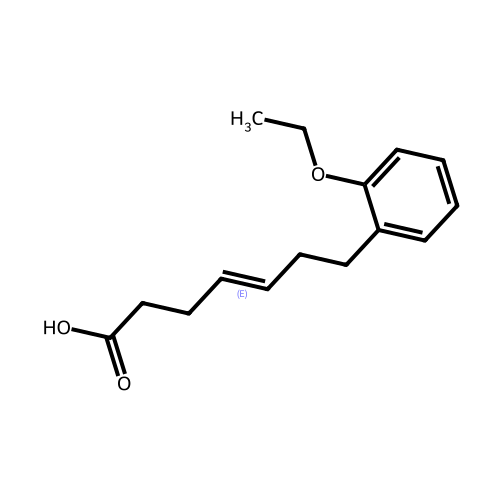 CCOc1ccccc1CC/C=C/CCC(=O)O